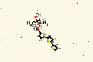 COC(C)(C)C(C)(C)OBc1ccc(-c2ccc(-c3cccs3)s2)s1